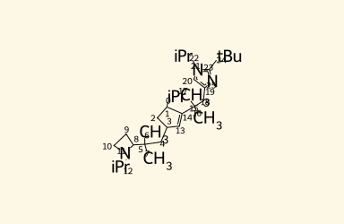 CC(C)C1CC(CC(C)(C)C2CCN2C(C)C)C=C1C(C)(C)Cc1cn(C(C)C)c(C(C)(C)C)n1